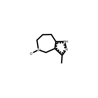 Cc1n[nH]c2c1C[S+]([O-])CCC2